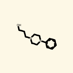 OCCCN1CCN(c2ccccc2)CC1